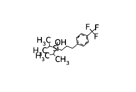 CC(C)[Si](O)(CCCc1ccc(C(F)(F)F)cc1)C(C)C